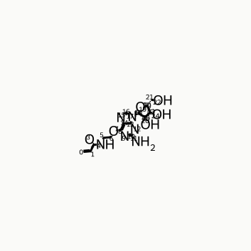 C=CC(=O)NCCOc1nc(N)nc2c1ncn2[C@@H]1O[C@H](CO)[C@@H](O)[C@H]1O